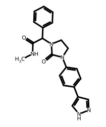 CNC(=O)C(c1ccccc1)N1CCN(c2ccc(-c3cn[nH]c3)cc2)C1=O